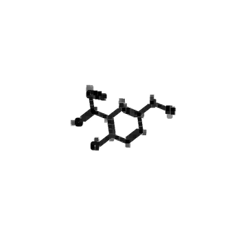 CCSc1ccc(Cl)c(C(=O)OC)n1